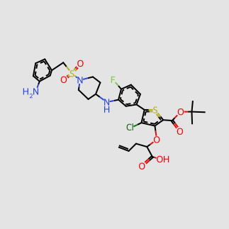 C=CCC(Oc1c(C(=O)OC(C)(C)C)sc(-c2ccc(F)c(NC3CCN(S(=O)(=O)Cc4cccc(N)c4)CC3)c2)c1Cl)C(=O)O